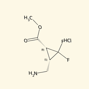 COC(=O)[C@H]1[C@@H](CN)C1(F)F.Cl